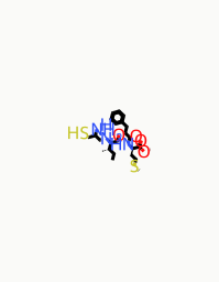 CC[C@H](C)C(COC(Cc1ccccc1)C(=O)N[C@H](CCSC)C(=O)OC)NCC(N)CS